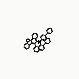 c1ccc(-c2ccc(N(c3ccccc3-c3ccccc3)c3c(-c4ccccc4)c4c5ccccc5oc4c4ccccc34)cc2)cc1